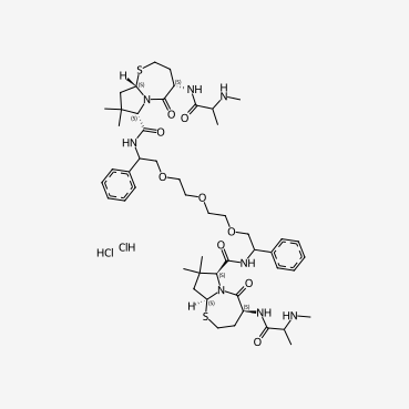 CNC(C)C(=O)N[C@H]1CCS[C@H]2CC(C)(C)[C@@H](C(=O)NC(COCCOCCOCC(NC(=O)[C@H]3N4C(=O)[C@@H](NC(=O)C(C)NC)CCS[C@H]4CC3(C)C)c3ccccc3)c3ccccc3)N2C1=O.Cl.Cl